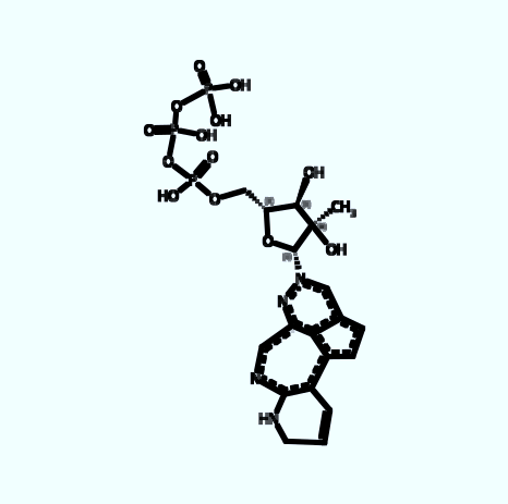 C[C@@]1(O)[C@H](O)[C@@H](COP(=O)(O)OP(=O)(O)OP(=O)(O)O)O[C@H]1n1cc2ccc3c4c(ncc(n1)c23)NCC=C4